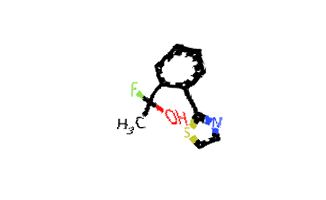 CC(O)(F)c1ccccc1-c1nccs1